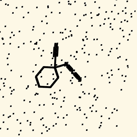 N#CC1(N=C=S)CCCCC1